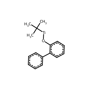 C[C](C)(C)[Ti][O]c1ccccc1-c1ccccc1